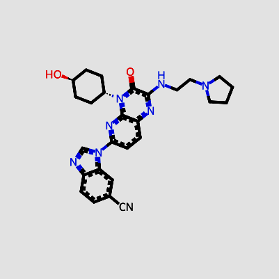 N#Cc1ccc2ncn(-c3ccc4nc(NCCN5CCCC5)c(=O)n([C@H]5CC[C@H](O)CC5)c4n3)c2c1